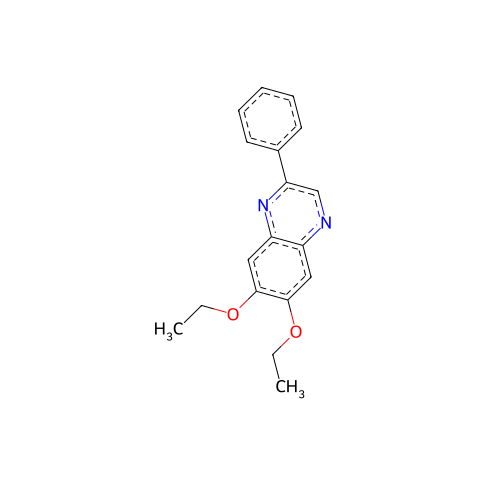 CCOc1cc2ncc(-c3ccccc3)nc2cc1OCC